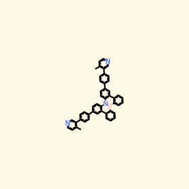 Cc1ccncc1-c1ccc(-c2ccc3c(c2)-c2ccccc2B2c4ccccc4-c4cc(-c5ccc(-c6cnccc6C)cc5)ccc4N23)cc1